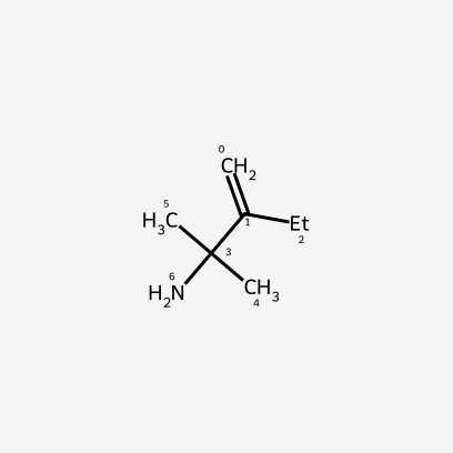 C=C(CC)C(C)(C)N